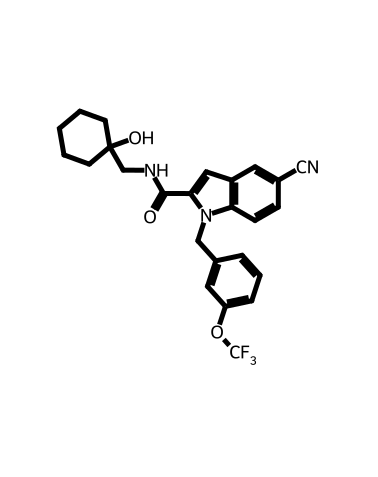 N#Cc1ccc2c(c1)cc(C(=O)NCC1(O)CCCCC1)n2Cc1cccc(OC(F)(F)F)c1